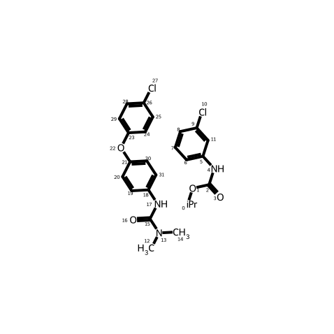 CC(C)OC(=O)Nc1cccc(Cl)c1.CN(C)C(=O)Nc1ccc(Oc2ccc(Cl)cc2)cc1